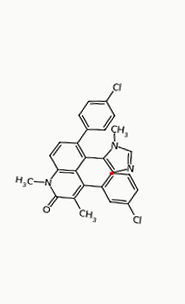 Cc1c(-c2cccc(Cl)c2)c2c(-c3cncn3C)c(-c3ccc(Cl)cc3)ccc2n(C)c1=O